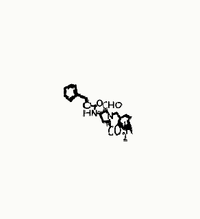 O=C[C@H]1[C@H](NC(=O)OCc2ccccc2)C[C@H](C(=O)O)N1Cc1ccccc1